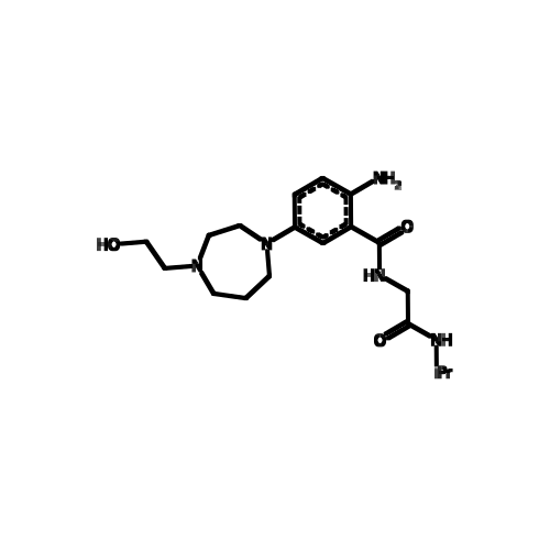 CC(C)NC(=O)CNC(=O)c1cc(N2CCCN(CCO)CC2)ccc1N